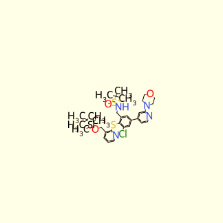 CC(C)(C)[S+]([O-])NCc1cc(-c2ccnc(N3CCOCC3)c2)cc(Cl)c1Sc1ncccc1CO[Si](C)(C)C(C)(C)C